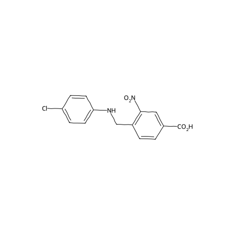 O=C(O)c1ccc(CNc2ccc(Cl)cc2)c([N+](=O)[O-])c1